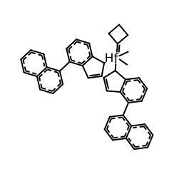 [CH3][Hf]([CH3])(=[C]1CCC1)([CH]1C=Cc2c(-c3cccc4ccccc34)cccc21)[CH]1C=Cc2c(-c3cccc4ccccc34)cccc21